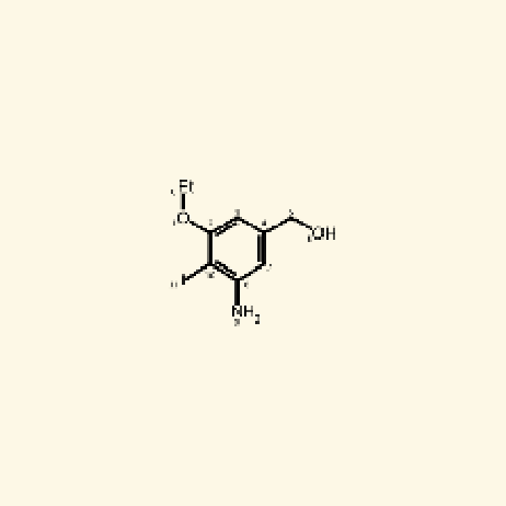 CCOc1cc(CO)cc(N)c1I